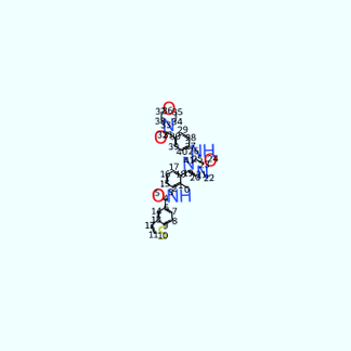 Cc1c(NC(=O)c2ccc3sccc3c2)cccc1-c1cn(C)c(=O)c(Nc2ccc(C(=O)N3CCOCC3)cc2)n1